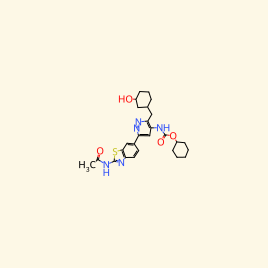 CC(=O)Nc1nc2ccc(-c3cc(NC(=O)OC4CCCCC4)c(CC4CCCC(O)C4)nn3)cc2s1